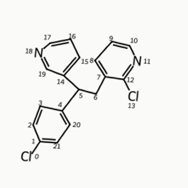 Clc1ccc(C(Cc2cccnc2Cl)c2cccnc2)cc1